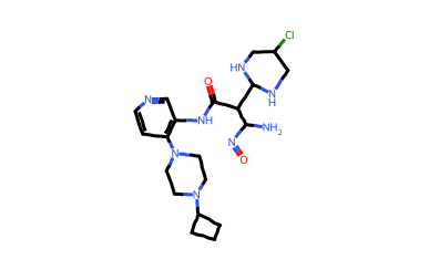 NC(N=O)C(C(=O)Nc1cnccc1N1CCN(C2CCC2)CC1)C1NCC(Cl)CN1